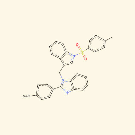 COc1ccc(-c2nc3ccccc3n2Cc2cn(S(=O)(=O)c3ccc(C)cc3)c3ccccc23)cc1